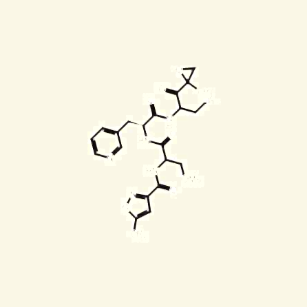 COCC(NC(=O)c1cc(C)on1)C(=O)N[C@@H](Cc1cccnc1)C(=O)NC(CC(C)C)C(=O)C1(C)CO1